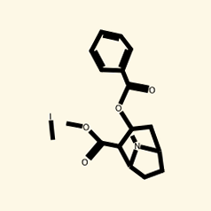 CI.COC(=O)C1C(OC(=O)c2ccccc2)CC2CCC1N2C